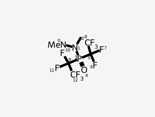 CNN(C)P(=O)(C(F)(F)C(F)(F)F)C(F)(F)C(F)(F)F